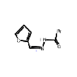 CC(C)C(=O)N/N=C\c1ccco1